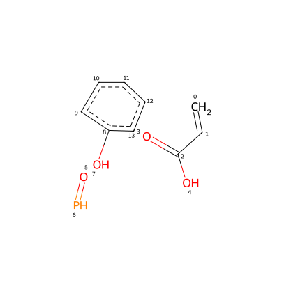 C=CC(=O)O.O=P.Oc1ccccc1